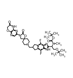 CN(C(=O)OC(C)(C)C)C(COC(C)(C)C)c1nc2c(F)c3c(c(F)c2[nH]1)CC(CN1CCC2(CC1)CN(c1cnc4c(n1)NC(=O)CO4)C(=O)O2)C3